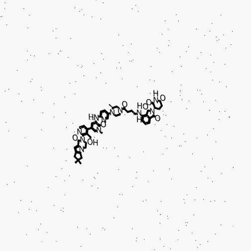 C[C@H]1CN(C(=O)CCCNc2cccc3c2C(O)N(C2CCC(=O)NC2=O)C3=O)CCN1c1ccc(Nc2cc(-c3ccnc(N4CCn5c(cc6c5CC(C)(C)C6)C4=O)c3CO)cn(C)c2=O)nc1